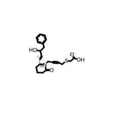 O=C(O)CSCC#CCN1C(=O)CCC[C@@H]1/C=C/C(O)Cc1ccccc1